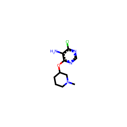 CN1CCCC(Oc2ncnc(Cl)c2N)C1